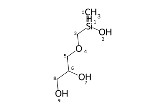 C[SiH](O)COCC(O)CO